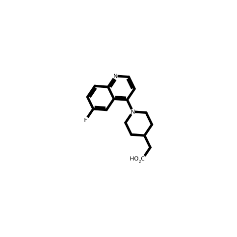 O=C(O)CC1CCN(c2ccnc3ccc(F)cc23)CC1